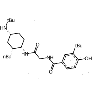 CCCC[C@@H]1C[C@H](NC(C)(C)C)CC[C@@H]1NC(=O)CNC(=O)c1ccc(O)c(C(C)(C)C)c1